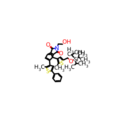 Cc1sc(-c2ccccc2)cc1C1=CC2CC1(c1cc(CO[Si](C(C)C)(C(C)C)C(C)C)sc1C)C1C(=O)N(CCO)C(=O)C21